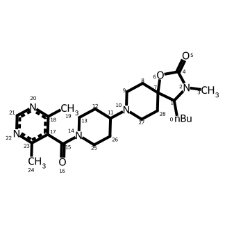 CCCCC1N(C)C(=O)OC12CCN(C1CCN(C(=O)c3c(C)ncnc3C)CC1)CC2